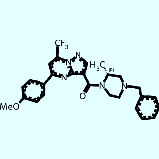 COc1ccc(-c2cc(C(F)(F)F)n3ncc(C(=O)N4CCN(Cc5ccccc5)C[C@H]4C)c3n2)cc1